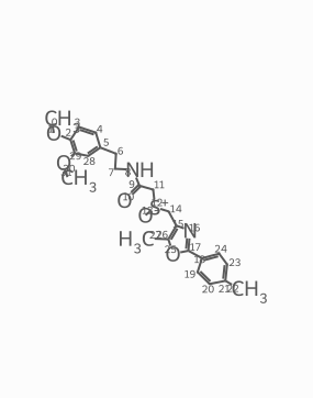 COc1ccc(CCNC(=O)C[S+]([O-])Cc2nc(-c3ccc(C)cc3)oc2C)cc1OC